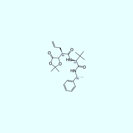 C=CC[C@@H](C(=O)N[C@H](C(=O)N[C@H](C)c1ccccc1)C(C)(C)C)C1OC(C)(C)OC1=O